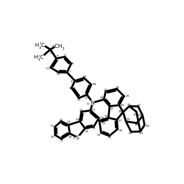 CC(C)(C)c1ccc(-c2ccc(N(c3ccc4sc5ccccc5c4c3)c3cccc4c3-c3ccccc3C43C4CC5CC(C4)CC3C5)cc2)cc1